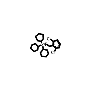 Clc1cccc(Cl)c1C[S][Sn]([CH]1CCCCC1)([CH]1CCCCC1)[CH]1CCCCC1